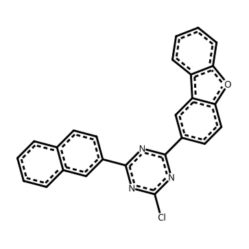 Clc1nc(-c2ccc3ccccc3c2)nc(-c2ccc3oc4ccccc4c3c2)n1